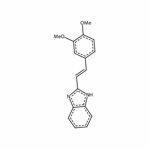 COc1ccc(C=Cc2nc3ccccc3[nH]2)cc1OC